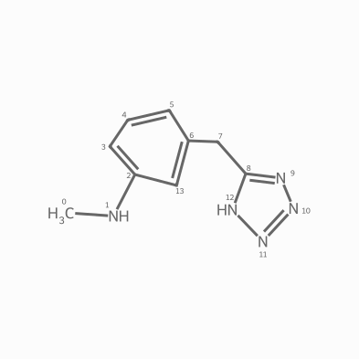 CNc1cccc(Cc2nnn[nH]2)c1